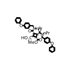 CCCN(Cc1ccc(Oc2ccccc2)cc1)C(=O)[C@H]1[C@@H](C(=O)O)[C@@H](C(=O)OC)[C@@H]1C(=O)N(CCC)Cc1ccc(Oc2ccccc2)cc1